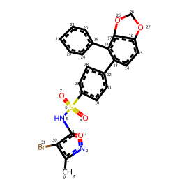 Cc1noc(NS(=O)(=O)c2ccc(-c3ccc4c(c3-c3ccccc3)OCO4)cc2)c1Br